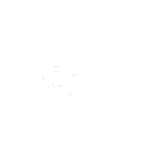 CCC(CC)O[SiH](C)C(N)CC